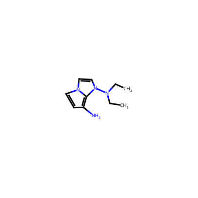 CCN(CC)n1ccn2ccc(N)c12